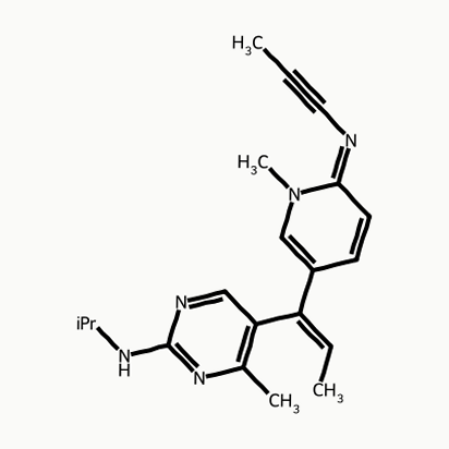 CC#C/N=c1/ccc(/C(=C/C)c2cnc(NC(C)C)nc2C)cn1C